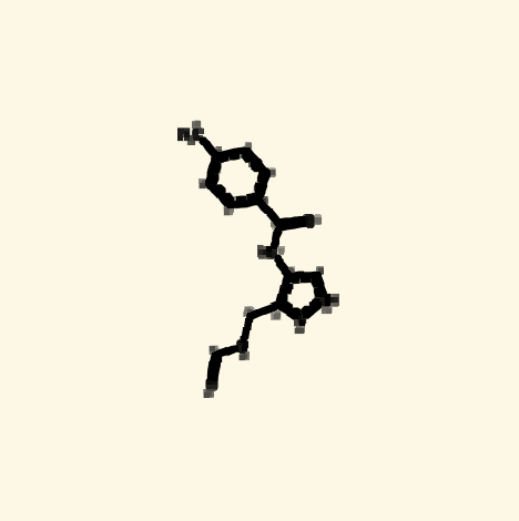 Cc1ccc(C(=O)Nc2c[nH]nc2COC=O)cc1